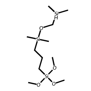 CO[Si](CCC[Si](C)(C)OC[SiH](C)C)(OC)OC